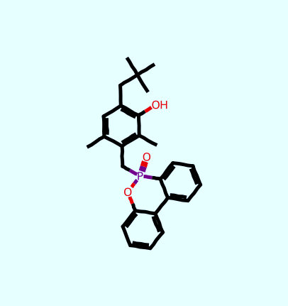 Cc1cc(CC(C)(C)C)c(O)c(C)c1CP1(=O)Oc2ccccc2-c2ccccc21